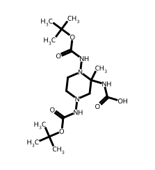 CC(C)(C)OC(=O)NN1CCN(NC(=O)OC(C)(C)C)C(C)(NC(=O)O)C1